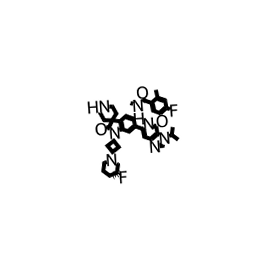 CNC(=O)c1cc(Oc2nc(-c3ccc4c(c3)N([C@H]3C[C@@H](N5CCC[C@@H](F)C5)C3)C(=O)C43CCNCC3)cc3ncn(C(C)C)c23)c(F)cc1C